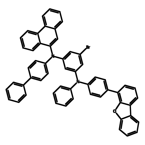 Brc1cc(N(c2ccccc2)c2ccc(-c3cccc4c3oc3ccccc34)cc2)cc(N(c2ccc(-c3ccccc3)cc2)c2cc3ccccc3c3ccccc23)c1